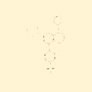 C[C@@H]1COCCN1c1cc(-c2ccc(S(C)(=O)=O)cc2F)c2ccnc(-c3ccn[nH]3)c2n1